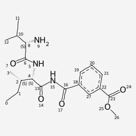 CC[C@H](C)[C@H](NC(=O)[C@@H](N)C(C)C)C(=O)NC(=O)c1cccc(C(=O)OC)c1